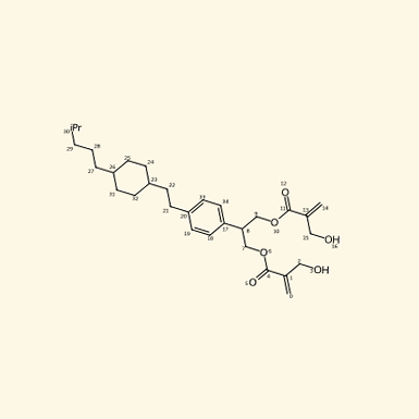 C=C(CO)C(=O)OCC(COC(=O)C(=C)CO)c1ccc(CCC2CCC(CCCC(C)C)CC2)cc1